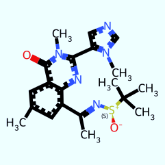 CC(=N[S@+]([O-])C(C)(C)C)c1cc(C)cc2c(=O)n(C)c(-c3cncn3C)nc12